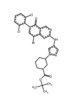 CC(C)(C)OC(=O)N1CCCC(n2cc(Nc3ncc4c(=O)n(-c5c(Cl)cccc5Cl)cc(Br)c4n3)cn2)C1